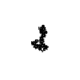 CCn1cnnc1-c1cccc(N2Cc3c(cc(N4CCC[C@H]4C)nc3N3CCC4(CCN(c5ccc6c(c5)C(=O)N(C5CCC(=O)NC5=O)C6=O)C4)CC3)C2=O)n1